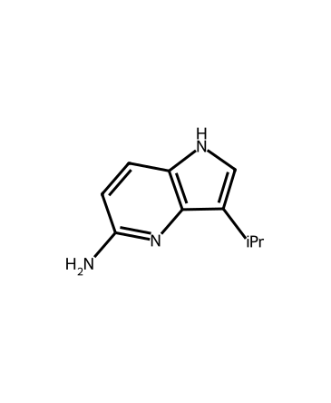 CC(C)c1c[nH]c2ccc(N)nc12